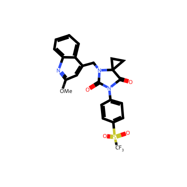 COc1cc(CN2C(=O)N(c3ccc(S(=O)(=O)C(F)(F)F)cc3)C(=O)C23CC3)c2ccccc2n1